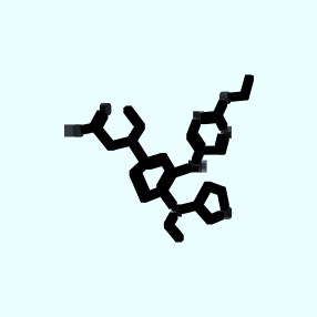 CCOc1ncc(Nc2cc(C(CC)CC(=O)O)ccc2N(CC)C2CCOC2)cn1